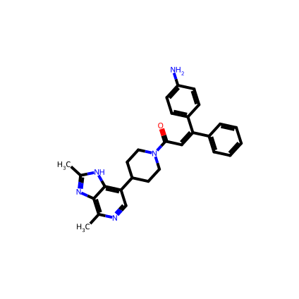 Cc1nc2c(C)ncc(C3CCN(C(=O)C=C(c4ccccc4)c4ccc(N)cc4)CC3)c2[nH]1